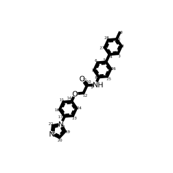 Cc1ccc(-c2ccc(NC(=O)COc3ccc(-n4ccnc4)cc3)cc2)cc1